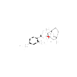 CC(C)(C)OC(=O)N1[C@H]2CC[C@@H]1[C@H](F)[C@@H](OC(=O)c1ccc([N+](=O)[O-])cc1)C2